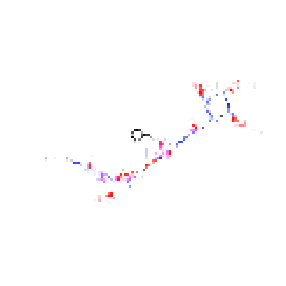 Cc1ccc(CCCC(=O)N[C@@H](CCCCNC(=O)CCCN2CCN(CC(=O)OC(C)(C)C)CCN(CC(=O)OC(C)(C)C)CCN(CC(=O)OC(C)(C)C)CC2)C(=O)NCCOCCOCC(=O)N[C@H](CCC(=O)OC(C)(C)C)C(=O)NCC(=O)NCC(=O)NCCC(=O)O)cc1